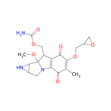 COC12C(COC(N)=O)C3=C(C(=O)C(C)=C(OCC4CO4)C3=O)N1CC1NC12